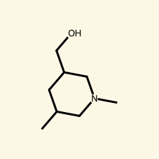 CC1CC(CO)CN(C)C1